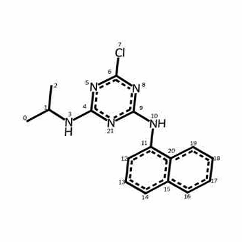 CC(C)Nc1nc(Cl)nc(Nc2cccc3ccccc23)n1